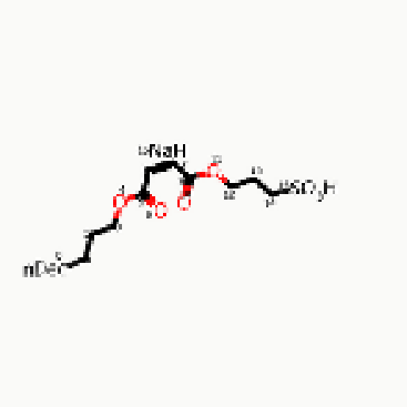 CCCCCCCCCCCCCOC(=O)/C=C\C(=O)OCCCS(=O)(=O)O.[NaH]